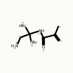 C=C(C)C(=O)NC(CN)(CCCC)CCCC